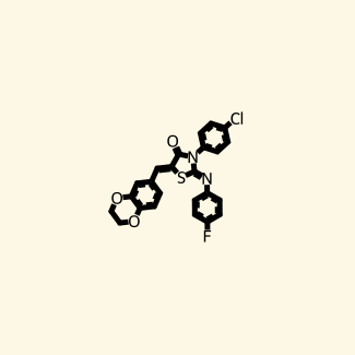 O=C1C(=Cc2ccc3c(c2)OCCO3)SC(=Nc2ccc(F)cc2)N1c1ccc(Cl)cc1